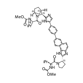 COC(=O)NC(C(=O)N1[C@@H]2CC[C@@H](C2)[C@H]1c1ncc(-c2ccc(-c3ccc4c(ccc5nc([C@@H]6CCCN6C(=O)[C@@H](NC(=O)OC)C(C)C)[nH]c54)c3)cc2)[nH]1)C(C)C